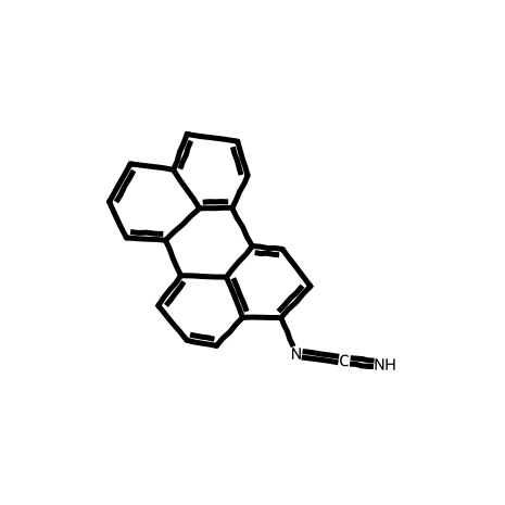 N=C=Nc1ccc2c3cccc4cccc(c5cccc1c52)c43